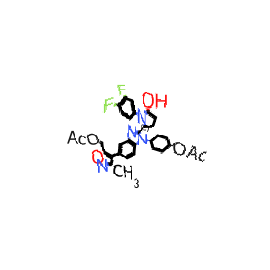 CC(=O)OCc1onc(C)c1-c1ccc2c(c1)nc([C@@H]1CCC(O)N1c1ccc(F)c(F)c1)n2[C@H]1CC[C@H](OC(C)=O)CC1